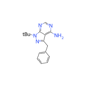 CC(C)(C)n1nc(Cc2ccccc2)c2c(N)ncnc21